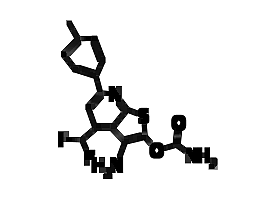 Cc1ccc(-c2cc(C(F)F)c3c(N)c(OC(N)=O)sc3n2)cc1